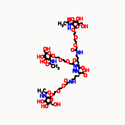 CC(=O)N[C@H]1[C@H](OCCOCCOCC(=O)NCCCC[C@H](NC(=O)[C@H](CCCCNC(=O)COCCOCCO[C@@H]2O[C@H](CO)[C@H](O)[C@H](O)[C@H]2NC(C)=O)NC(=O)COCCOCCO[C@@H]2O[C@H](CO)[C@H](O)[C@H](O)[C@H]2NC(C)=O)C(=O)O)O[C@H](CO)[C@H](O)[C@@H]1O